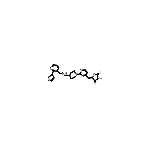 O=C1NC(=O)/C(=C/c2ccnc(N3CCC(CNCc4cccnc4C4C=CSC4)CC3)n2)S1